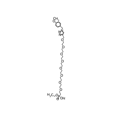 CCOP(=O)(O)CCOCCOCCOCCOCCOCCOCCOCCOCc1cn(Cc2ccc(OC)cc2)nn1